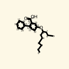 CCCCCCC(CCC)Oc1ccc(-c2ccccc2)c(C(=O)O)c1